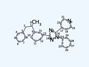 CC(Cc1ccccc1)c1cccc(-c2nc(-c3ccncc3)n(-c3ccccc3)n2)c1